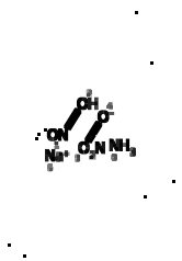 N.O=NO.O=[N+]([O-])[O-].[Na+]